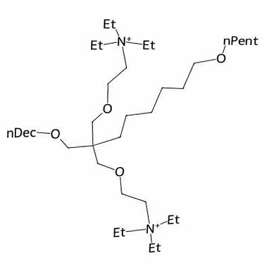 CCCCCCCCCCOCC(CCCCCCOCCCCC)(COCC[N+](CC)(CC)CC)COCC[N+](CC)(CC)CC